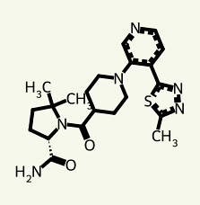 Cc1nnc(-c2ccncc2N2CCC(C(=O)N3[C@H](C(N)=O)CCC3(C)C)CC2)s1